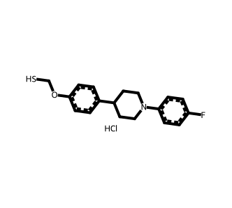 Cl.Fc1ccc(N2CCC(c3ccc(OCS)cc3)CC2)cc1